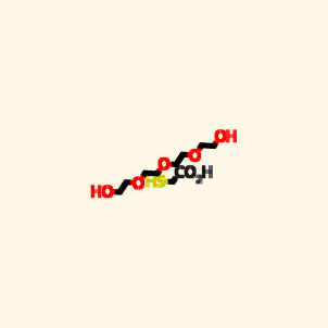 O=C(O)CS.OCCOCCOCCOCCO